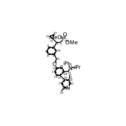 COP(=O)(CC(c1cccc(COc2ccc(-c3cc(C)ncc3F)c(CN(C(C)C)C(C)C)c2)c1)C1CC1)OC